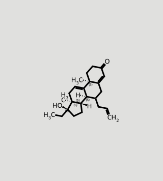 C=CCC1CC2=CC(=O)CC[C@]2(C)C2=CC[C@@]3(C)[C@@H](CC[C@]3(O)CC)[C@@H]21